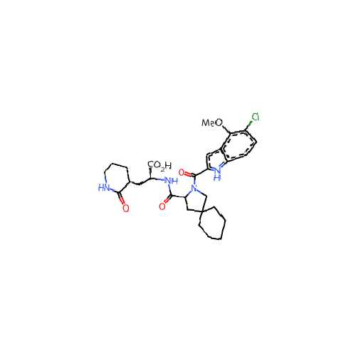 COc1c(Cl)ccc2[nH]c(C(=O)N3CC4(CCCCC4)CC3C(=O)N[C@@H](C[C@@H]3CCCNC3=O)C(=O)O)cc12